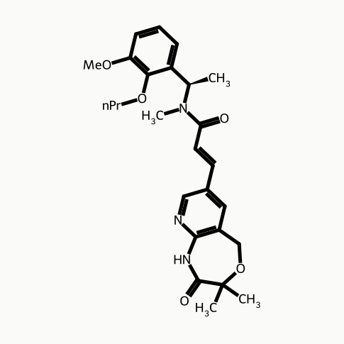 CCCOc1c(OC)cccc1[C@@H](C)N(C)C(=O)/C=C/c1cnc2c(c1)COC(C)(C)C(=O)N2